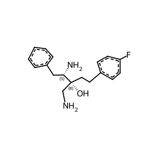 NC[C@](O)(CCc1ccc(F)cc1)[C@@H](N)Cc1ccccc1